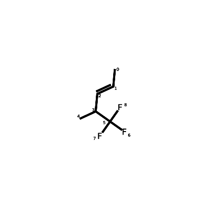 CC=CC(C)C(F)(F)F